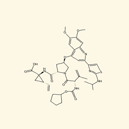 C=C[C@@H]1C[C@]1(NC(=O)[C@@H]1C[C@@H](Oc2cc(-c3csc(NC(C)C)n3)nc3cc(OC)c(OC)cc23)CN1C(=O)[C@@H](NC(=O)OC1CCCC1)C(=C)C)C(=O)O